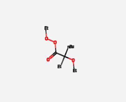 CCCCC(CC)(OCC)C(=O)OOCC